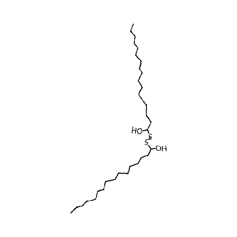 CCCCCCCCCCCCCCCC(O)SSC(O)CCCCCCCCCCCCCCC